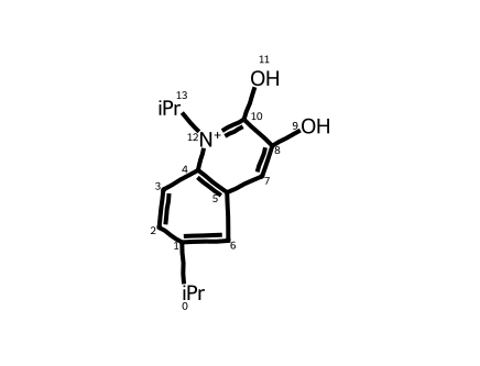 CC(C)c1ccc2c(c1)cc(O)c(O)[n+]2C(C)C